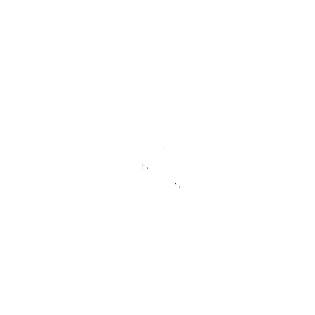 CCNC1C[C@@H](COC(C)C)N(C(C)C)C1